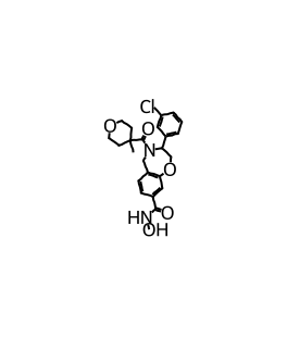 CC1(C(=O)N2Cc3ccc(C(=O)NO)cc3OCC2c2cccc(Cl)c2)CCOCC1